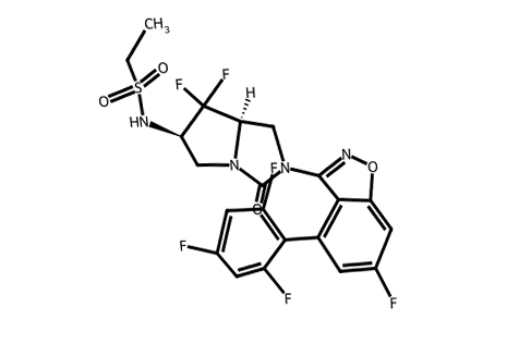 CCS(=O)(=O)N[C@@H]1CN2C(=O)N(c3noc4cc(F)cc(-c5c(F)cc(F)cc5F)c34)C[C@@H]2C1(F)F